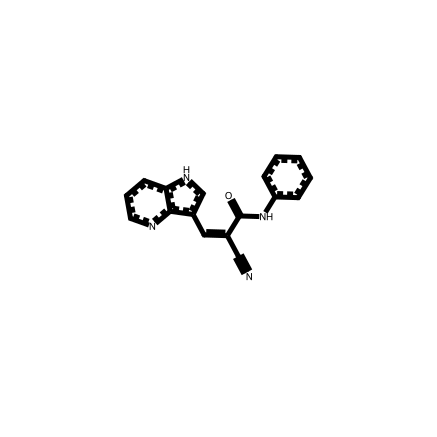 N#C/C(=C/c1c[nH]c2cccnc12)C(=O)Nc1ccccc1